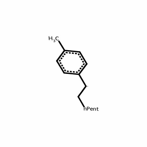 CCCCCC[CH]c1ccc(C)cc1